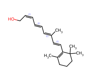 CC1=C(/C=C/C(C)=C/C=C/C=C\CO)C(C)(C)CCC1